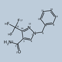 NC(=O)c1cn(Cc2ccccc2)nc1C(F)(F)F